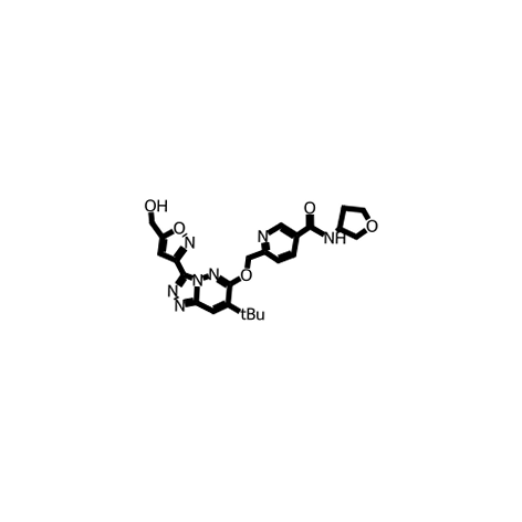 CC(C)(C)c1cc2nnc(-c3cc(CO)on3)n2nc1OCc1ccc(C(=O)NC2CCOC2)cn1